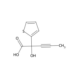 CC#CC(O)(C(=O)O)c1cccs1